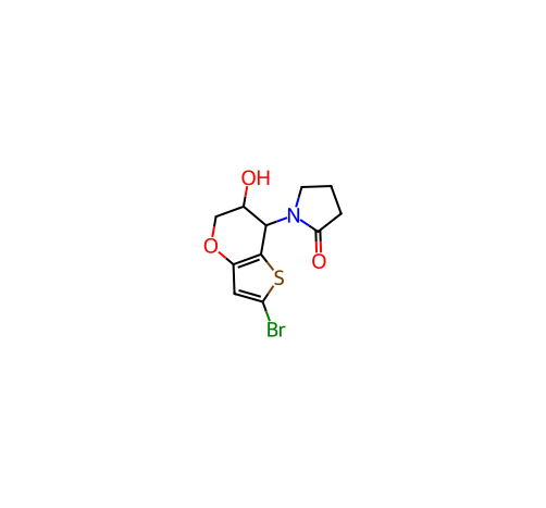 O=C1CCCN1C1c2sc(Br)cc2OCC1O